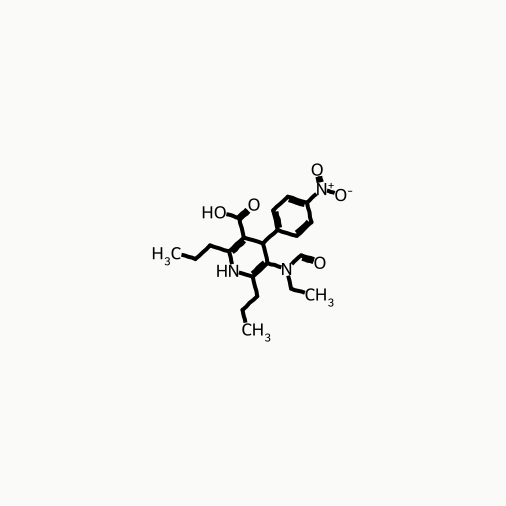 CCCC1=C(C(=O)O)C(c2ccc([N+](=O)[O-])cc2)C(N(C=O)CC)=C(CCC)N1